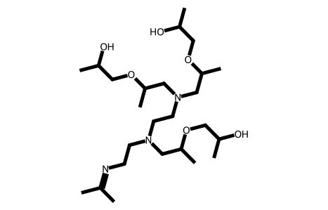 CC(C)=NCCN(CCN(CC(C)OCC(C)O)CC(C)OCC(C)O)CC(C)OCC(C)O